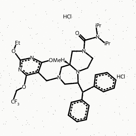 CCOc1nc(OC)c(CN2CC(C(c3ccccc3)c3ccccc3)N3CCN(C(=O)N(C(C)C)C(C)C)C[C@H]3C2)c(OCC(F)(F)F)n1.Cl.Cl